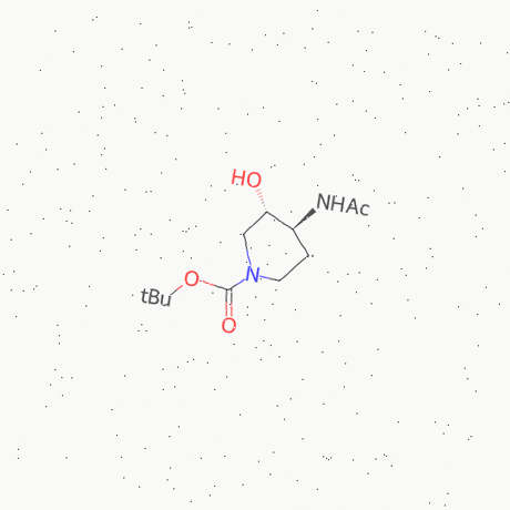 CC(=O)N[C@H]1CCN(C(=O)OC(C)(C)C)C[C@@H]1O